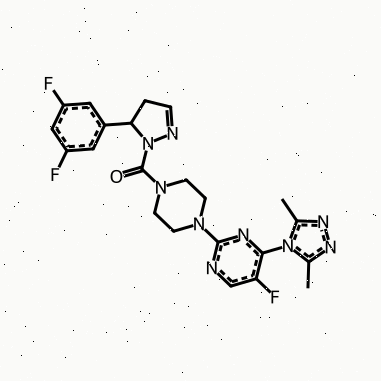 Cc1nnc(C)n1-c1nc(N2CCN(C(=O)N3N=CCC3c3cc(F)cc(F)c3)CC2)ncc1F